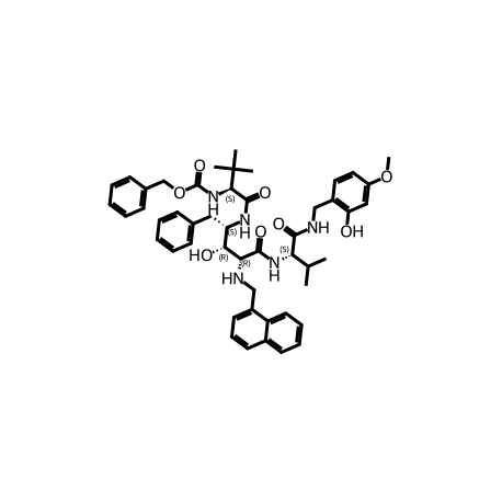 COc1ccc(CNC(=O)[C@@H](NC(=O)[C@H](NCc2cccc3ccccc23)[C@H](O)[C@H](Cc2ccccc2)NC(=O)[C@@H](NC(=O)OCc2ccccc2)C(C)(C)C)C(C)C)c(O)c1